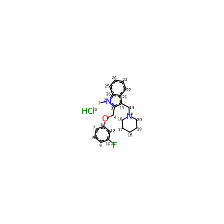 Cl.Cn1c(COc2cccc(F)c2)c(CN2CCCCC2)c2ccccc21